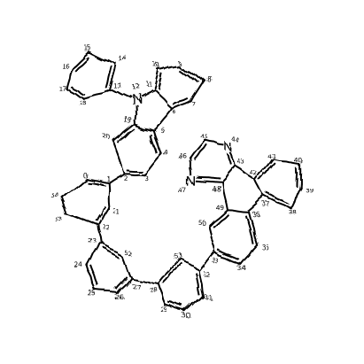 C1=C(c2ccc3c4ccccc4n(-c4ccccc4)c3c2)C=C(c2cccc(-c3cccc(-c4ccc5c6ccccc6c6nccnc6c5c4)c3)c2)CC1